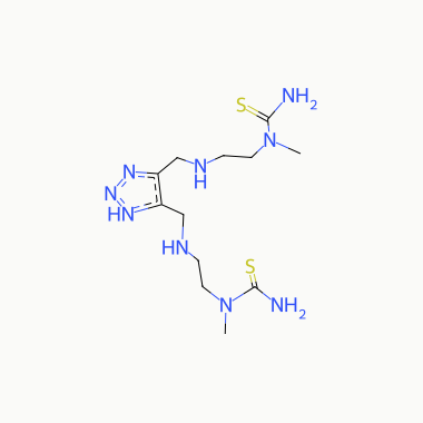 CN(CCNCc1nn[nH]c1CNCCN(C)C(N)=S)C(N)=S